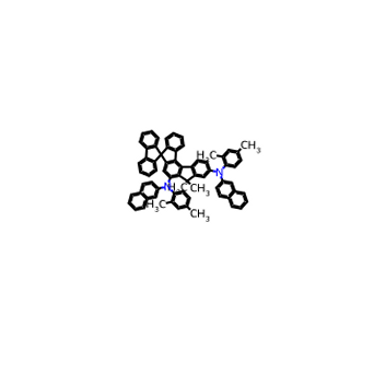 Cc1ccc(N(c2ccc3c(c2)C(C)(C)c2c(N(c4ccc5ccccc5c4)c4ccc(C)cc4C)cc4c(c2-3)-c2ccccc2C42c3ccccc3-c3ccccc32)c2ccc3ccccc3c2)c(C)c1